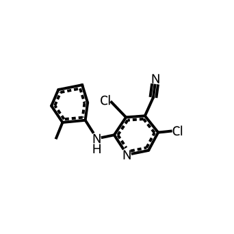 Cc1ccccc1Nc1ncc(Cl)c(C#N)c1Cl